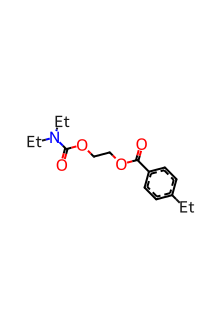 CCc1ccc(C(=O)OCCOC(=O)N(CC)CC)cc1